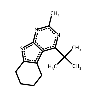 Cc1nc(C(C)(C)C)c2c3c(sc2n1)CCCC3